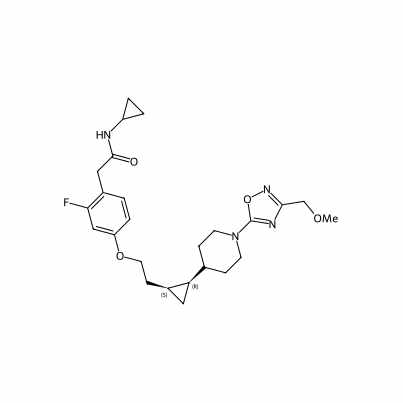 COCc1noc(N2CCC([C@H]3C[C@H]3CCOc3ccc(CC(=O)NC4CC4)c(F)c3)CC2)n1